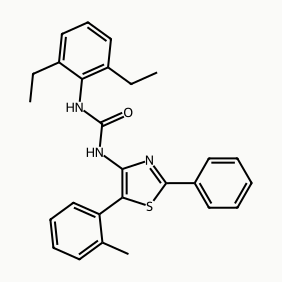 CCc1cccc(CC)c1NC(=O)Nc1nc(-c2ccccc2)sc1-c1ccccc1C